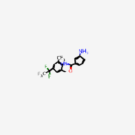 Cc1cc(C(F)(F)C(F)(F)F)cc(C(F)(F)F)c1NC(=O)c1cccc(N)c1